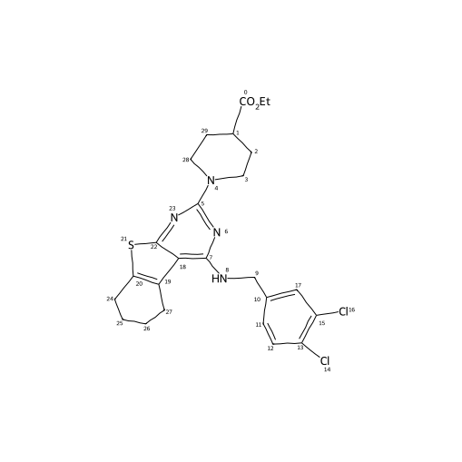 CCOC(=O)C1CCN(c2nc(NCc3ccc(Cl)c(Cl)c3)c3c4c(sc3n2)CCCC4)CC1